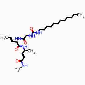 C/C=C/[C@H](NC(=O)CNC(=O)NCCCCCCCCCCCC)C(=O)N[C@@H](C)/C=C/C(=O)NC